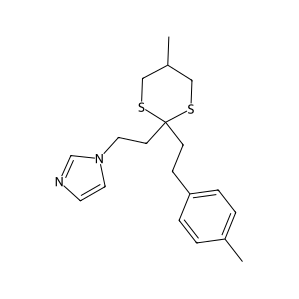 Cc1ccc(CCC2(CCn3ccnc3)SCC(C)CS2)cc1